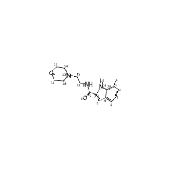 Cc1cccc2cc(C(=O)NCCN3CCOCC3)[nH]c12